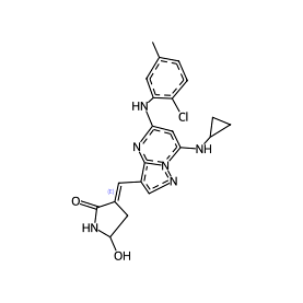 Cc1ccc(Cl)c(Nc2cc(NC3CC3)n3ncc(/C=C4\CC(O)NC4=O)c3n2)c1